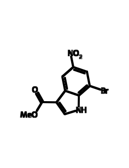 COC(=O)c1c[nH]c2c(Br)cc([N+](=O)[O-])cc12